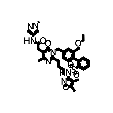 CCCCc1nc(C)c(CC(=O)Nc2cnn(C)c2)c(=O)n1Cc1ccc(-c2ccccc2S(=O)(=O)Nc2noc(C)c2C)c(COCC)c1